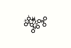 Cc1cc2c3c(c1)C(C)(C)c1ccccc1B3c1ccc(N(c3ccccc3)c3ccccc3)c3c1C[C@@H]2[C@H](C)C1=C3C(C)(C)c2cc(N(c3ccccc3)c3ccccc3)ccc21